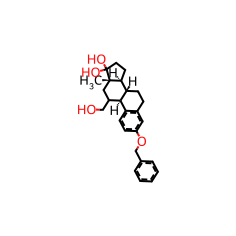 C[C@]12CC(CO)[C@@H]3c4ccc(OCc5ccccc5)cc4CC[C@H]3[C@@H]1CCC2(O)O